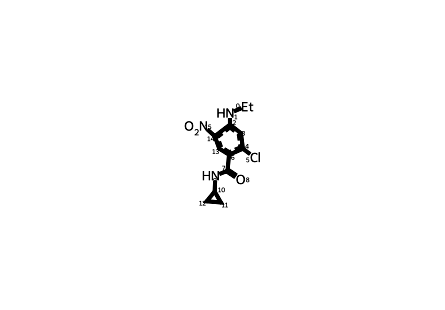 CCNc1cc(Cl)c(C(=O)NC2CC2)cc1[N+](=O)[O-]